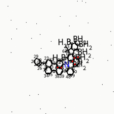 Bc1c(B)c(B)c2c(c1B)-c1c(B)c(B)c(N(c3ccc(-c4ccc(C5CC6CCC5C6)c5cccc(-c6ccccc6)c45)cc3)c3ccccc3-c3ccccc3)c(B)c1C2(C)C